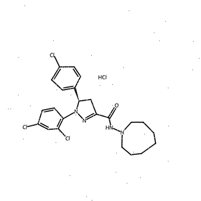 Cl.O=C(NN1CCCCCCC1)C1=NN(c2ccc(Cl)cc2Cl)[C@@H](c2ccc(Cl)cc2)C1